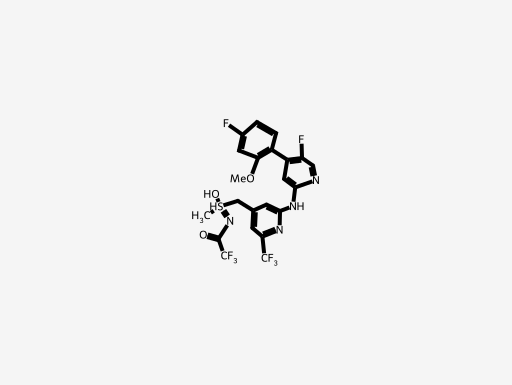 COc1cc(F)ccc1-c1cc(Nc2cc(C[SH](C)(O)=NC(=O)C(F)(F)F)cc(C(F)(F)F)n2)ncc1F